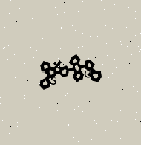 CC1(C)c2cc(-c3c4ccccc4c(-c4cccc5c4oc4ccccc45)c4ccccc34)ccc2-c2c1c1ccccc1c1c2sc2ccccc21